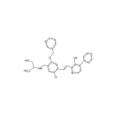 N#Cc1c(-c2ccccc2)ccnc1/C=C/c1cc(OCc2cccnc2)c(CNC(CO)C(=O)O)cc1Cl